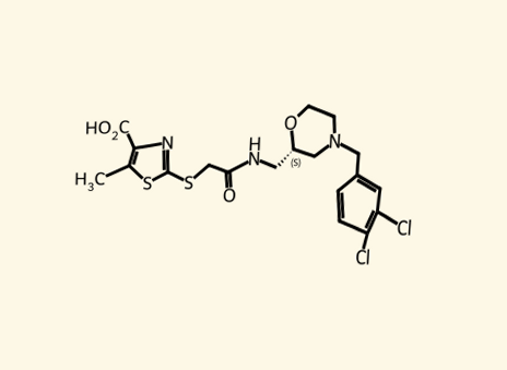 Cc1sc(SCC(=O)NC[C@H]2CN(Cc3ccc(Cl)c(Cl)c3)CCO2)nc1C(=O)O